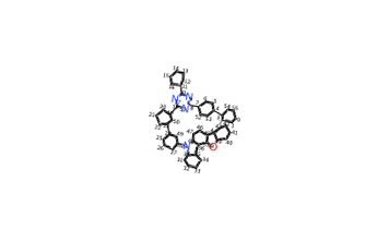 c1ccc(-c2ccc(-c3nc(-c4ccccc4)nc(-c4cccc(-c5cccc(-n6c7ccccc7c7c8oc9ccccc9c8ccc76)c5)c4)n3)cc2)cc1